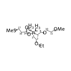 CCOCCP(C)(C)(CCOCCOC)OC(=O)CCSC